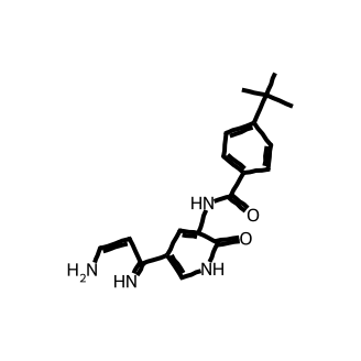 CC(C)(C)c1ccc(C(=O)Nc2cc(C(=N)/C=C\N)c[nH]c2=O)cc1